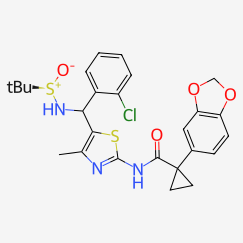 Cc1nc(NC(=O)C2(c3ccc4c(c3)OCO4)CC2)sc1C(N[S@+]([O-])C(C)(C)C)c1ccccc1Cl